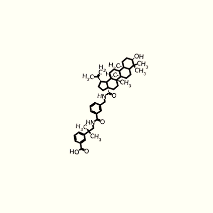 C=C(C)[C@@H]1CC[C@]2(C(=O)NCc3cccc(C(=O)NCC(C)(C)c4cccc(C(=O)O)c4)c3)CC[C@]3(C)C(CCC4[C@@]5(C)CC[C@H](O)C(C)(C)C5CC[C@]43C)C12